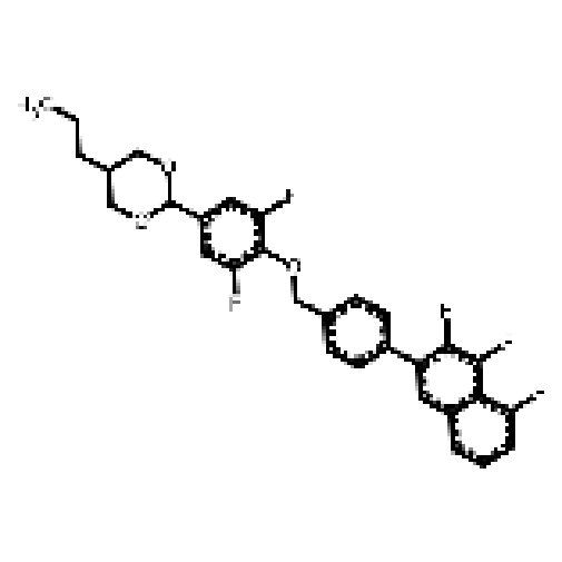 CCCC1COC(c2cc(F)c(OCc3ccc(-c4cc5cccc(F)c5c(F)c4F)cc3)c(F)c2)OC1